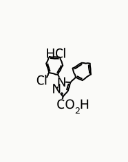 Cl.O=C(O)c1cc(-c2ccccc2)n(-c2ccccc2Cl)n1